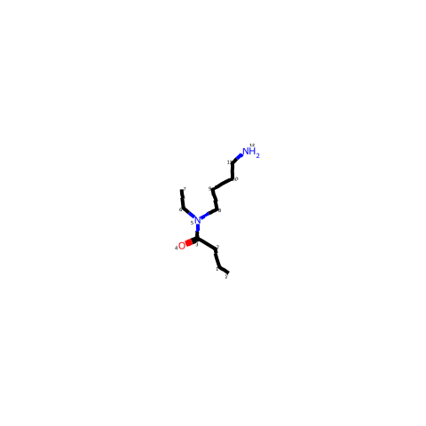 CCCC(=O)N(CC)CCCCN